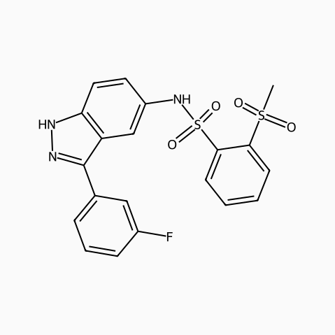 CS(=O)(=O)c1ccccc1S(=O)(=O)Nc1ccc2[nH]nc(-c3cccc(F)c3)c2c1